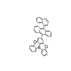 c1ccc2c(c1)Oc1cc(-c3c4ccccc4c(-c4cccc5ccccc45)c4ccccc34)cc3c1B2c1ccccc1O3